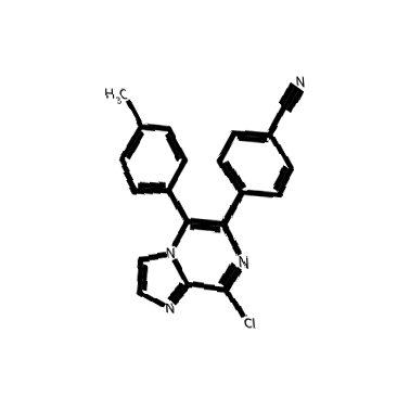 Cc1ccc(-c2c(-c3ccc(C#N)cc3)nc(Cl)c3nccn23)cc1